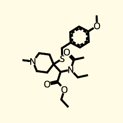 CCOC(=O)C(N(CC)C(C)=O)C1(SCc2ccc(OC)cc2)CCN(C)CC1